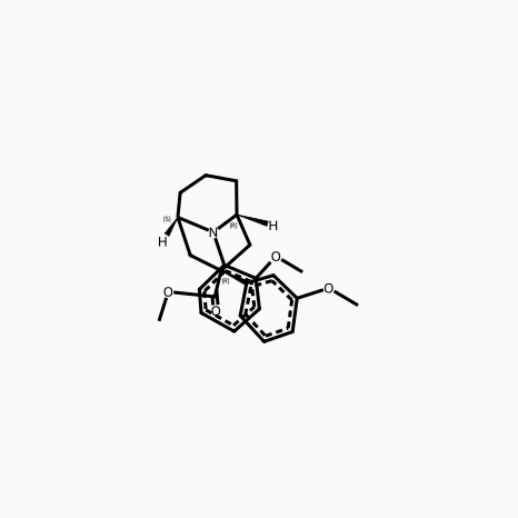 COC(=O)[C@@]1(c2cccc(OC)c2)C[C@H]2CCC[C@@H](C1)N2c1ccccc1OC